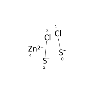 [S-]Cl.[S-]Cl.[Zn+2]